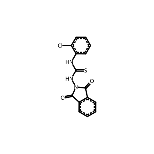 O=C1c2ccccc2C(=O)N1NC(=S)Nc1ccccc1Cl